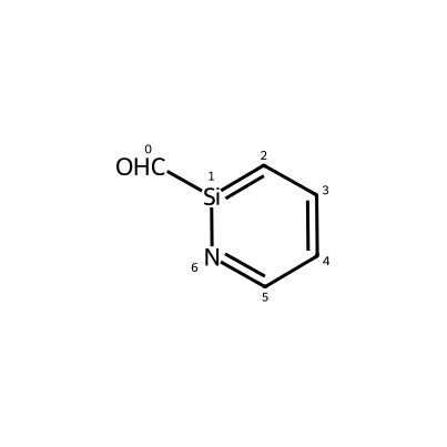 O=C[si]1ccccn1